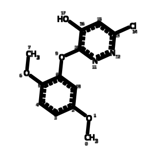 COc1ccc(OC)c(Oc2nnc(Cl)cc2O)c1